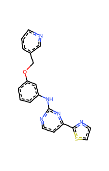 c1cncc(COc2cccc(Nc3nccc(-c4nccs4)n3)c2)c1